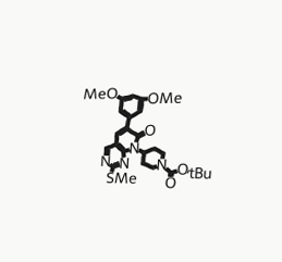 COc1cc(OC)cc(-c2cc3cnc(SC)nc3n(C3CCN(C(=O)OC(C)(C)C)CC3)c2=O)c1